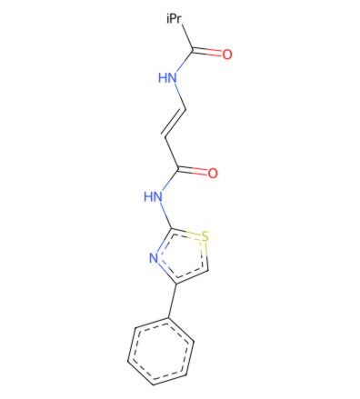 CC(C)C(=O)NC=CC(=O)Nc1nc(-c2ccccc2)cs1